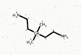 [CH3][Ge]([CH3])([CH2]CN)[CH2]CN